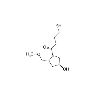 COC[C@H]1C[C@H](O)CN1C(=O)CCCS